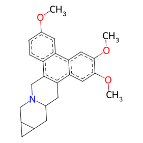 COc1ccc2c3c(c4cc(OC)c(OC)cc4c2c1)CC1CC2CC2CN1C3